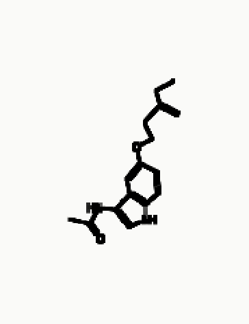 C=C(CC)CCOc1ccc2[nH]cc(NC(C)=O)c2c1